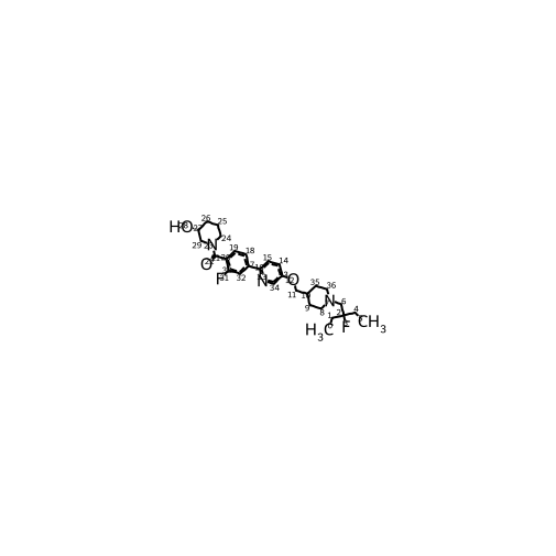 CCC(F)(CC)CN1CCC(COc2ccc(-c3ccc(C(=O)N4CCC[C@@H](O)C4)c(F)c3)nc2)CC1